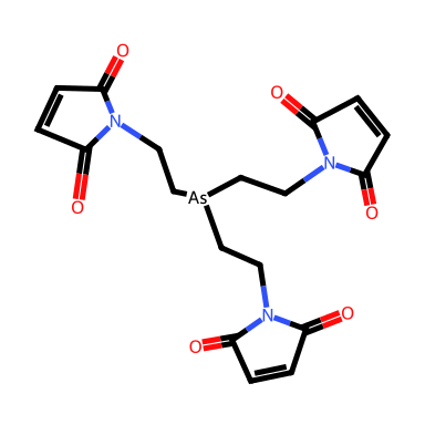 O=C1C=CC(=O)N1CC[As](CCN1C(=O)C=CC1=O)CCN1C(=O)C=CC1=O